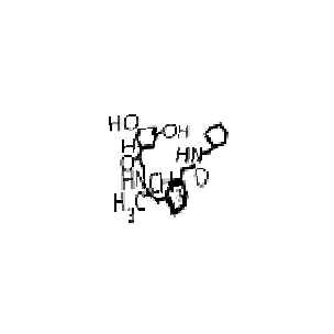 CC(C)(Cc1cccc(CC(=O)NCC2CCCCC2)c1)NCC(O)c1cc(O)cc(O)c1